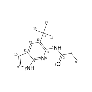 CCC(=O)Nc1nc2[nH]ccc2cc1C(C)(C)C